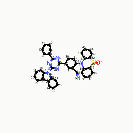 N#Cc1cc(-c2nc(-c3ccccc3)nc(-n3c4ccccc4c4ccccc43)n2)ccc1N1c2ccccc2[S+]([O-])c2ccccc21